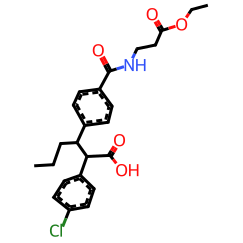 CCCC(c1ccc(C(=O)NCCC(=O)OCC)cc1)C(C(=O)O)c1ccc(Cl)cc1